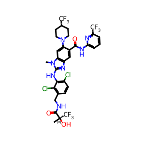 Cn1c(Nc2c(Cl)ccc(CNC(=O)[C@@](C)(O)C(F)(F)F)c2Cl)nc2cc(C(=O)Nc3cccc(C(F)(F)F)n3)c(N3CCC(C(F)(F)F)CC3)cc21